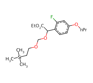 CCCOc1ccc(C(OCOCC[Si](C)(C)C)C(=O)OCC)c(F)c1